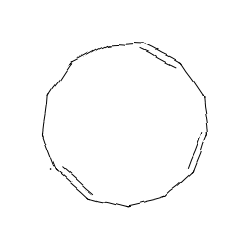 [C]1=CCCC=CCC=CCCCC1